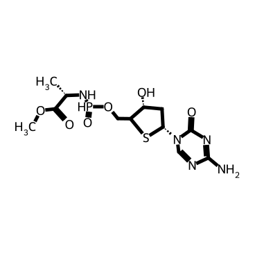 COC(=O)[C@H](C)N[PH](=O)OCC1S[C@@H](n2cnc(N)nc2=O)C[C@H]1O